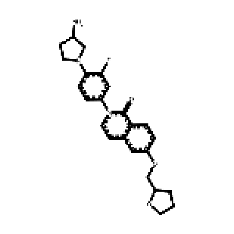 NC1CCN(c2ccc(-n3ccc4cc(OCC5CCCO5)ccc4c3=O)cc2F)C1